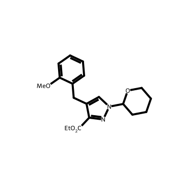 CCOC(=O)c1nn(C2CCCCO2)cc1Cc1ccccc1OC